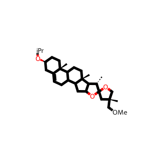 COC[C@@]1(C)COC2(C1)OC1CC3C4CC=C5C[C@@H](OC(C)C)CC[C@]5(C)C4CC[C@]3(C)C1[C@@H]2C